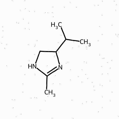 CC1=NC(C(C)C)CN1